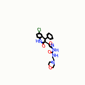 O=C(NCCN1CCOCC1)Nc1cc(-c2c(-c3ccccc3)c3cc(Cl)ccc3[nH]c2=O)on1